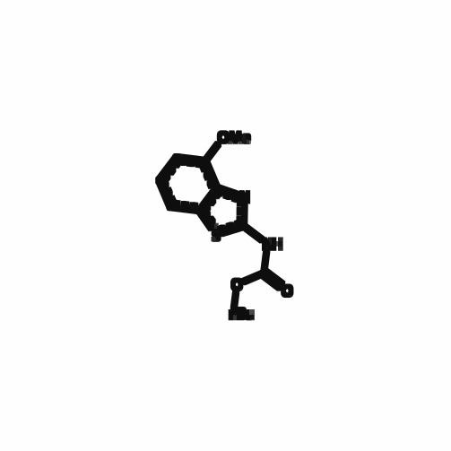 CCCCOC(=O)Nc1nc2c(OC)cccc2s1